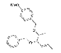 CC=CC(OCc1ccccc1)C(C)OCc1ccc(OC)cc1